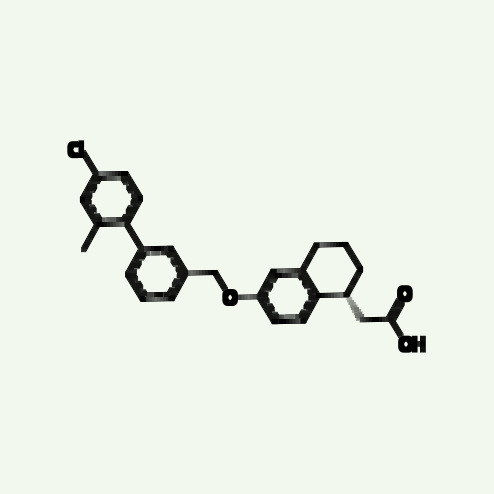 Cc1cc(Cl)ccc1-c1cccc(COc2ccc3c(c2)CCC[C@@H]3CC(=O)O)c1